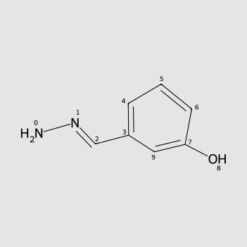 NN=Cc1cccc(O)c1